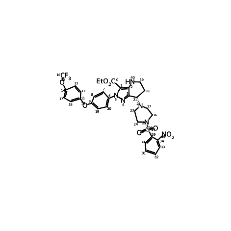 CCOC(=O)c1c2c(nn1-c1ccc(Oc3ccc(OC(F)(F)F)cc3)cc1)[C@@H](N1CCN(S(=O)(=O)c3ccccc3[N+](=O)[O-])CC1)CCN2